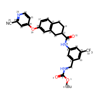 CC(C)(C)OC(=O)NCc1cc(NC(=O)C2CCc3ccc(Oc4ccnc(C#N)c4)cc3C2)cc(C(F)(F)F)c1